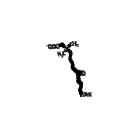 CCCCCCCCCCCCCC(=O)CCCC[N+](C)(C)CC(=O)[O-]